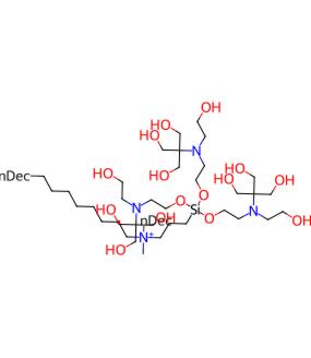 CCCCCCCCCCCCCCCCCC[N+](C)(CCCCCCCCCC)CCC[Si](OCCN(CCO)C(CO)(CO)CO)(OCCN(CCO)C(CO)(CO)CO)OCCN(CCO)C(CO)(CO)CO